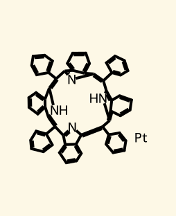 [Pt].c1ccc(-c2c3nc(c(-c4ccccc4)c4[nH]c(c(-c5ccccc5)c5nc(c(-c6ccccc6)c6[nH]c2c2ccccc62)-c2ccccc2-5)c2ccccc42)-c2ccccc2-3)cc1